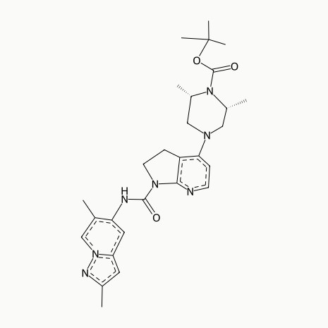 Cc1cc2cc(NC(=O)N3CCc4c(N5C[C@@H](C)N(C(=O)OC(C)(C)C)[C@@H](C)C5)ccnc43)c(C)cn2n1